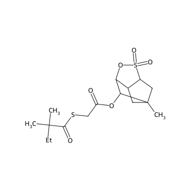 CCC(C)(C)C(=O)SCC(=O)OC1C2OS(=O)(=O)C3CC1(C)CC23